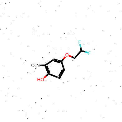 O=[N+]([O-])c1cc(OCC(F)F)ccc1O